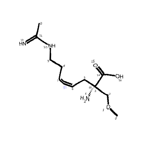 COC[C@@](N)(C/C=C\CCNC(C)=N)C(=O)O